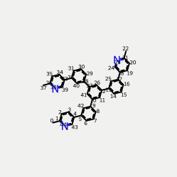 Cc1ccc(-c2cccc(-c3cc(-c4cccc(-c5ccc(C)nc5)c4)cc(-c4cccc(-c5ccc(C)nc5)c4)c3)c2)cn1